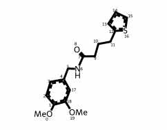 COc1ccc(CNC(=O)CCCc2cccs2)cc1OC